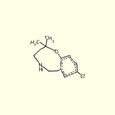 CC1(C)CNCc2cc(Cl)ccc2O1